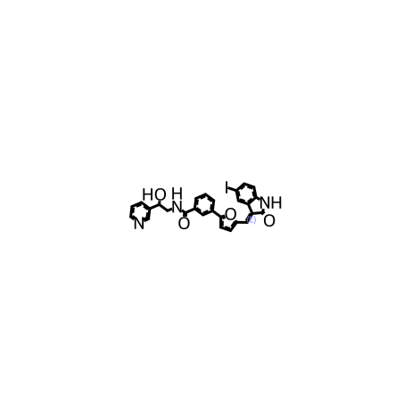 O=C1Nc2ccc(I)cc2/C1=C\c1ccc(-c2cccc(C(=O)NCC(O)c3cccnc3)c2)o1